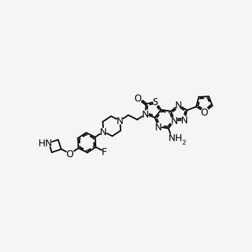 Nc1nc2c(sc(=O)n2CCN2CCN(c3ccc(OC4CNC4)cc3F)CC2)c2nc(-c3ccco3)nn12